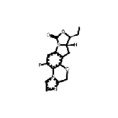 CC[C@@H]1OC(=O)N2c3cc(F)c4c(c3C[C@@H]12)OCc1nccn1-4